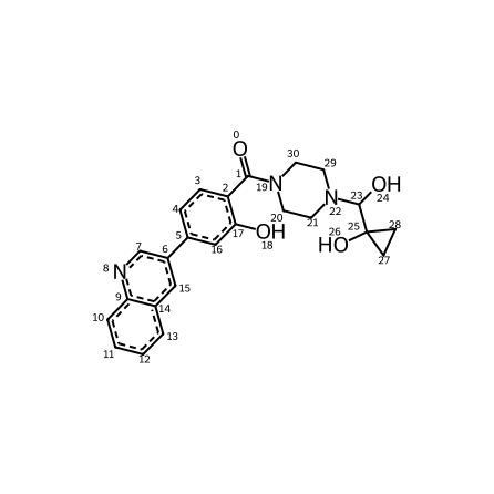 O=C(c1ccc(-c2cnc3ccccc3c2)cc1O)N1CCN(C(O)C2(O)CC2)CC1